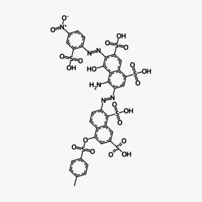 Cc1ccc(S(=O)(=O)Oc2cc(S(=O)(=O)O)cc3c(S(=O)(=O)O)c(N=Nc4cc(S(=O)(=O)O)c5cc(S(=O)(=O)O)c(N=Nc6ccc([N+](=O)[O-])cc6S(=O)(=O)O)c(O)c5c4N)ccc23)cc1